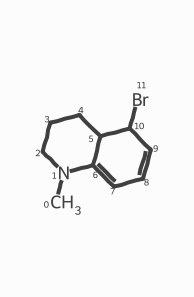 CN1CCCC2C1=CC=CC2Br